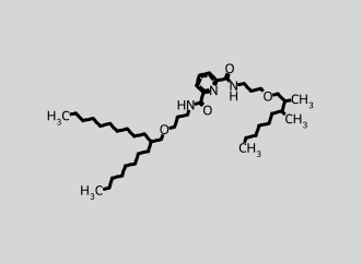 CCCCCCCCCCC(CCCCCCCC)COCCCNC(=O)c1cccc(C(=O)NCCCOCC(C)C(C)CCCCCC)n1